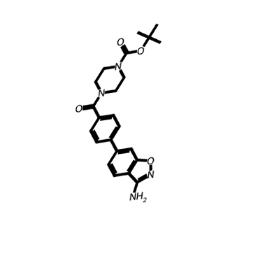 CC(C)(C)OC(=O)N1CCN(C(=O)c2ccc(-c3ccc4c(N)noc4c3)cc2)CC1